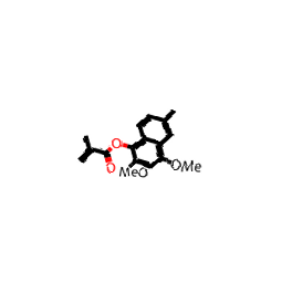 C=C(C)C(=O)Oc1c(OC)cc(OC)c2cc(C)ccc12